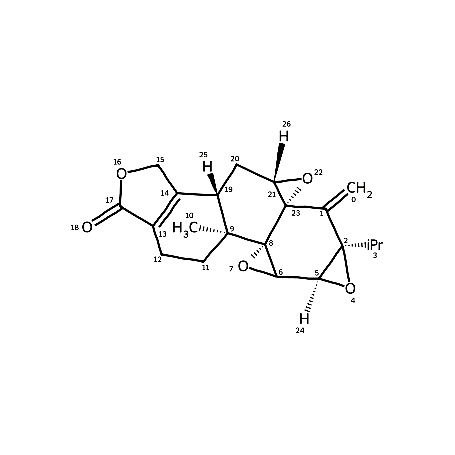 C=C1[C@@]2(C(C)C)O[C@H]2C2O[C@@]23[C@@]2(C)CCC4=C(COC4=O)[C@@H]2C[C@@H]2O[C@@]123